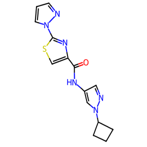 O=C(Nc1cnn(C2CCC2)c1)c1csc(-n2cccn2)n1